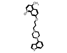 Cc1cc[n+]([O-])c2cc(OCCCN3CCN(c4cccc5sccc45)CC3)ccc12